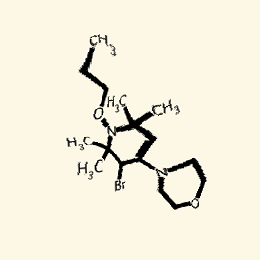 CCCON1C(C)(C)C=C(N2CCOCC2)C(Br)C1(C)C